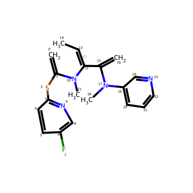 C=C(Sc1ccc(F)cn1)N(C)/C(=C\C)C(=C)N(C)c1cccnc1